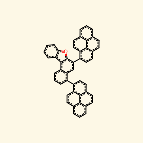 c1cc2ccc3ccc(-c4cccc5c4cc(-c4ccc6ccc7cccc8ccc4c6c78)c4oc6ccccc6c45)c4ccc(c1)c2c34